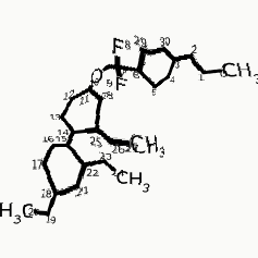 CCCC1CCC(C(F)(F)OC2CCC(C3CCC(CC)CC3CC)C(CC)C2)CC1